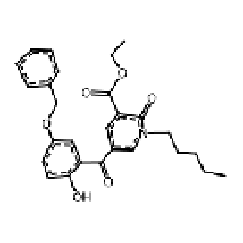 CCCCCn1cc(C(=O)c2cc(OCc3ccccc3)ccc2O)cc(C(=O)OCC)c1=O